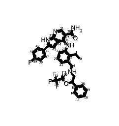 CCc1c(CNCC(OC(=O)C(F)(F)F)c2ccccc2)cccc1Nc1c(C(N)=O)cnc2[nH]c(-c3ccc(F)cc3)cc12